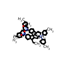 C=CC1=C(/C=C(\C)N(c2ccc(C)cc2)c2ccc(C)cc2)C2(C(C)=C(/C=C\C)c3ccc(N(c4ccc(C)cc4)c4ccc(C)cc4)cc32)c2cc(N(c3ccc(C)cc3)c3ccc(C)cc3)ccc21